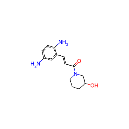 Nc1ccc(N)c(C=CC(=O)N2CCCC(O)C2)c1